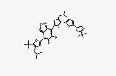 CC(C)Cc1cc(-c2c(F)c(F)c(-c3cc(CC(C)C)c(C(C)(C)C)s3)c3nonc23)sc1-c1ccc(-c2ccc(C(C)(C)C)s2)s1